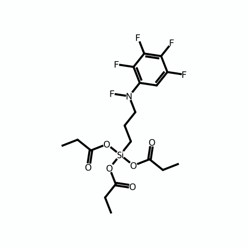 CCC(=O)O[Si](CCCN(F)c1cc(F)c(F)c(F)c1F)(OC(=O)CC)OC(=O)CC